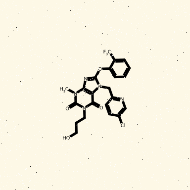 Cn1c(=O)n(CCCO)c(=O)c2c1nc(Oc1ccccc1C(F)(F)F)n2Cc1ccc(Cl)cn1